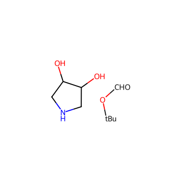 CC(C)(C)OC=O.OC1CNCC1O